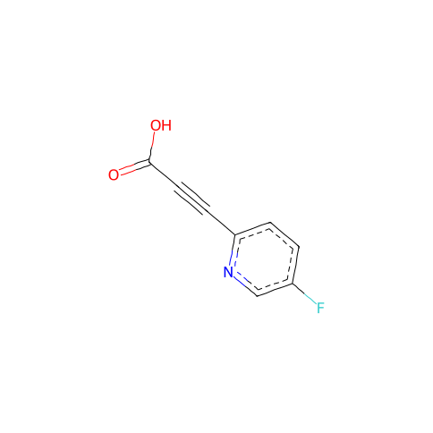 O=C(O)C#Cc1ccc(F)cn1